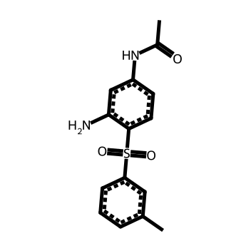 CC(=O)Nc1ccc(S(=O)(=O)c2cccc(C)c2)c(N)c1